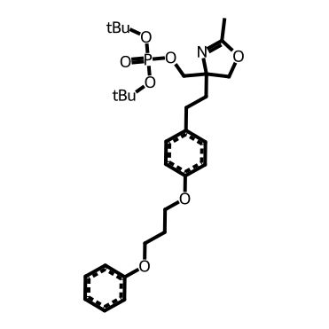 CC1=NC(CCc2ccc(OCCCOc3ccccc3)cc2)(COP(=O)(OC(C)(C)C)OC(C)(C)C)CO1